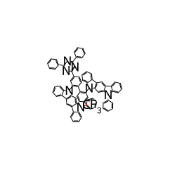 FC(F)(F)c1ccc(-c2ccc(-c3nc(-c4ccccc4)nc(-c4ccccc4)n3)cc2-n2c3ccccc3c3cc4c5ccccc5n(-c5ccccc5)c4cc32)c(-n2c3ccccc3c3cc4c5ccccc5n(-c5ccccc5)c4cc32)c1